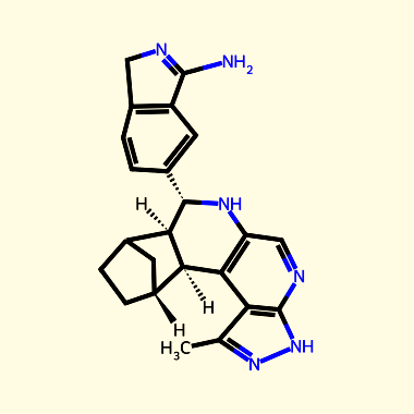 Cc1n[nH]c2ncc3c(c12)[C@H]1[C@@H]2CCC(C2)[C@H]1[C@H](c1ccc2c(c1)C(N)=NC2)N3